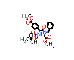 COC(=O)CN(Cc1ccccc1)C(=O)C(NC(=O)OC(C)(C)C)c1ccc(C(=O)OC)cc1